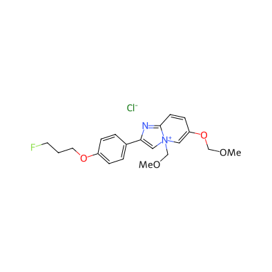 COCOC1=C[N+]2(COC)C=C(c3ccc(OCCCF)cc3)N=C2C=C1.[Cl-]